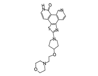 O=c1[nH]ccc2c3sc(N4CCC(OCCN5CCOCC5)CC4)nc3c3ccncc3c12